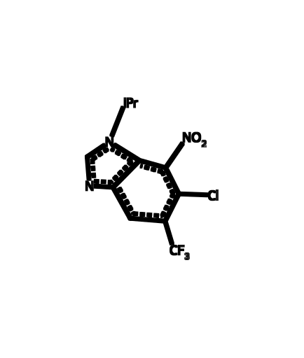 CC(C)n1cnc2cc(C(F)(F)F)c(Cl)c([N+](=O)[O-])c21